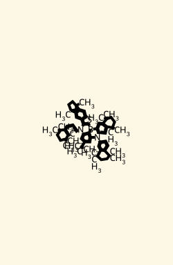 CC(C)(C)c1cc2c3c(c1)N(c1ccc4c(c1)C(C)(C)CCC4(C)C)c1c(sc4cc5c(cc14)C1(C)CCC5(C)C1)B3c1cc3c(cc1N2c1ccc2c(c1)C(C)(C)CCC2(C)C)C(C)(C)CCC3(C)C